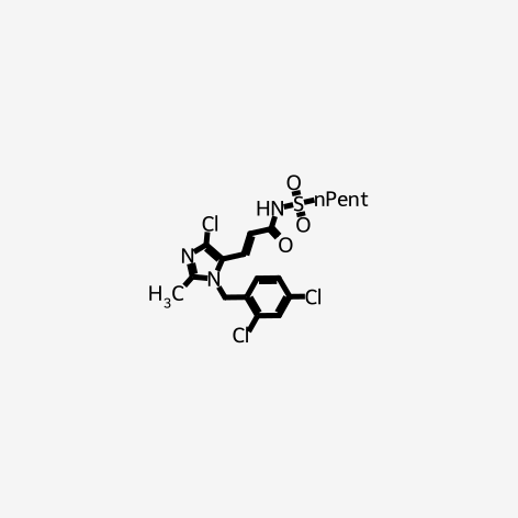 CCCCCS(=O)(=O)NC(=O)/C=C/c1c(Cl)nc(C)n1Cc1ccc(Cl)cc1Cl